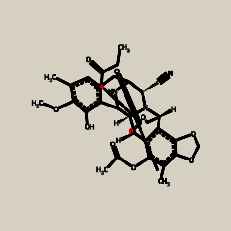 CCC(=O)NC1CS[C@@H]2c3c(OC(C)=O)c(C)c4c(c3[C@H](COC1=O)N1[C@@H]2C2NC(Cc3cc(C)c(OC)c(O)c32)[C@@H]1C#N)OCO4